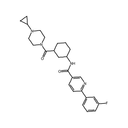 O=C(NC1CCCC(C(=O)N2CCN(C3CC3)CC2)C1)c1ccc(-c2cccc(F)c2)nc1